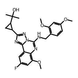 COc1ccc(CNc2nc3c(OC)cc(F)cc3c3nc(C4CC4C(C)(C)O)nn23)c(OC)c1